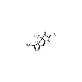 C=C1NC(C)(C)/C(=C\C2=CC=C(C)C2)S1